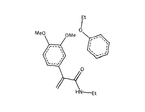 C=C(C(=O)NCC)c1ccc(OC)c(OC)c1.CCOc1ccccc1